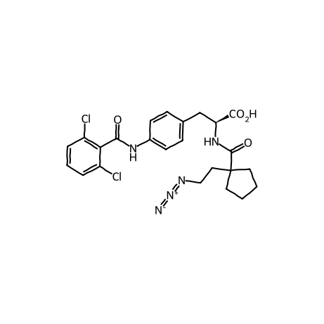 [N-]=[N+]=NCCC1(C(=O)N[C@@H](Cc2ccc(NC(=O)c3c(Cl)cccc3Cl)cc2)C(=O)O)CCCC1